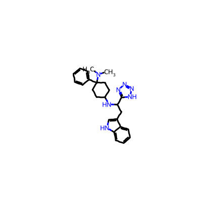 CN(C)C1(c2ccccc2)CCC(NC(Cc2c[nH]c3ccccc23)c2nnn[nH]2)CC1